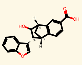 O=C(O)c1ccc2c(c1)[C@@H]1C[C@H]2[C@H](c2coc3ccccc23)C1O